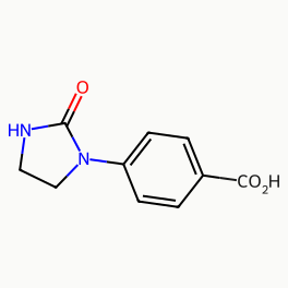 O=C(O)c1ccc(N2CCNC2=O)cc1